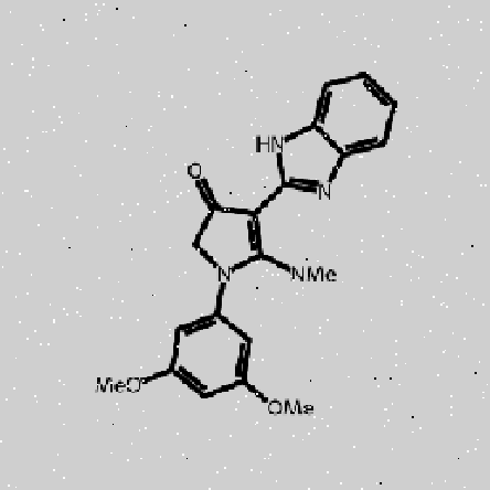 CNC1=C(c2nc3ccccc3[nH]2)C(=O)CN1c1cc(OC)cc(OC)c1